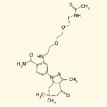 CC(=O)NCCOCCOCCNc1cc(-n2nc(C)c3c2CC(C)(C)CC3=O)ccc1C(N)=O